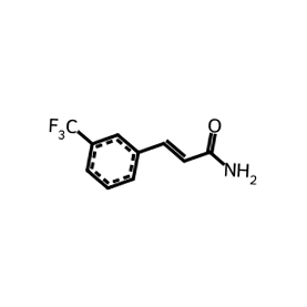 NC(=O)C=Cc1cccc(C(F)(F)F)c1